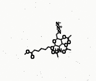 COC(=O)CCCCCOC1OC(CN=[N+]=[N-])C(OC(C)=O)C(OC(C)=O)C1NC(C)=O